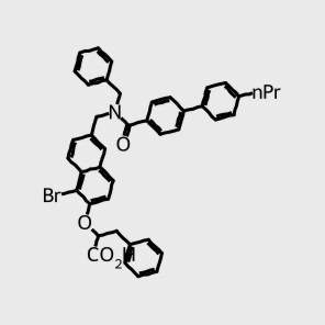 CCCc1ccc(-c2ccc(C(=O)N(Cc3ccccc3)Cc3ccc4c(Br)c(OC(Cc5ccccc5)C(=O)O)ccc4c3)cc2)cc1